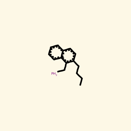 CCCCc1ccc2ccccc2c1CC.P